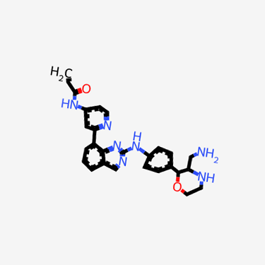 C=CC(=O)Nc1ccnc(-c2cccc3cnc(Nc4ccc(C5OCCNC5CN)cc4)nc23)c1